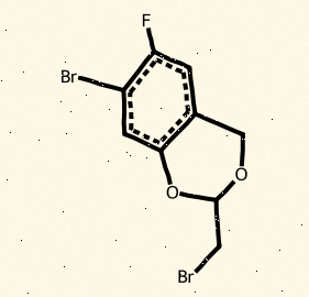 Fc1cc2c(cc1Br)OC(CBr)OC2